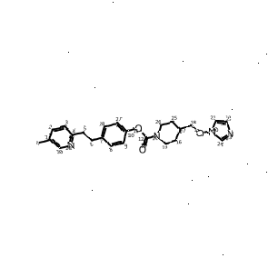 Cc1ccc(CCc2ccc(OC(=O)N3CCC(COn4ccnc4)CC3)cc2)nc1